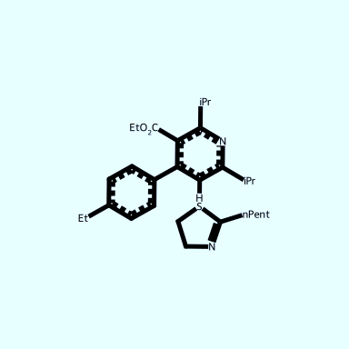 CCCCCC1=NCC[SH]1c1c(C(C)C)nc(C(C)C)c(C(=O)OCC)c1-c1ccc(CC)cc1